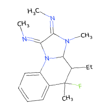 CCC1C2N(C)C(=N/C)/C(=N\C)N2c2ccccc2C1(C)F